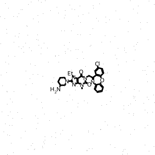 CCn1c(N2CCCC(N)C2)nc2c1c(=O)n(CC1=Nc3ccccc3Oc3ccc(Cl)cc31)c(=O)n2C